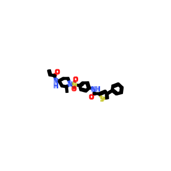 C=CC(=O)NC1CCN(S(=O)(=O)c2ccc(NC(=O)c3cc(-c4ccccc4)cs3)cc2)C(C)C1